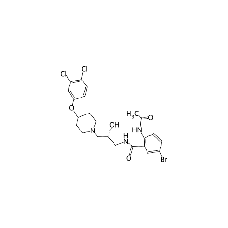 CC(=O)Nc1ccc(Br)cc1C(=O)NC[C@@H](O)CN1CCC(Oc2ccc(Cl)c(Cl)c2)CC1